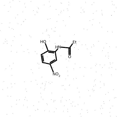 CCC(=O)Nc1cc([N+](=O)[O-])ccc1O